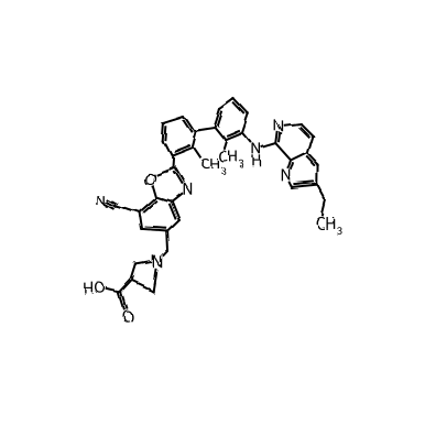 CCc1cnc2c(Nc3cccc(-c4cccc(-c5nc6cc(CN7CC(C(=O)O)C7)cc(C#N)c6o5)c4C)c3C)nccc2c1